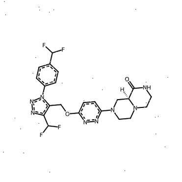 O=C1NCCN2CCN(c3ccc(OCc4c(C(F)F)nnn4-c4ccc(C(F)F)cc4)nn3)C[C@@H]12